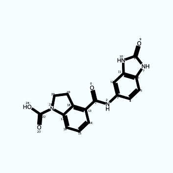 O=C(Nc1ccc2[nH]c(=O)[nH]c2c1)c1cccc2c1CCN2C(=O)O